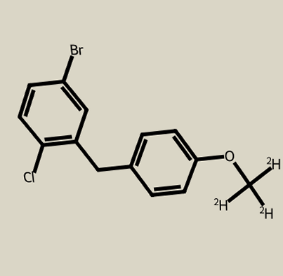 [2H]C([2H])([2H])Oc1ccc(Cc2cc(Br)ccc2Cl)cc1